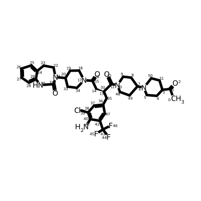 CC(=O)C1CCN(C2CCN(C(=O)[C@H](CC(=O)N3CCC(N4CCc5ccccc5NC4=O)CC3)Cc3cc(Cl)c(N)c(C(F)(F)F)c3)CC2)CC1